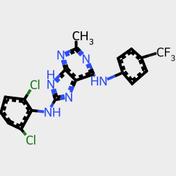 Cc1nc(Nc2ccc(C(F)(F)F)cc2)c2nc(Nc3c(Cl)cccc3Cl)[nH]c2n1